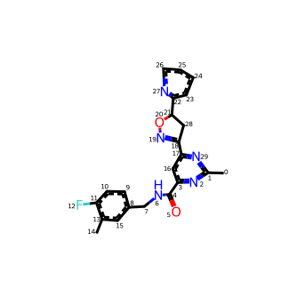 Cc1nc(C(=O)NCc2ccc(F)c(C)c2)cc(C2=NOC(c3ccccn3)C2)n1